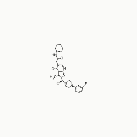 Cc1c(C(=O)N2CCN(c3cccc(F)c3)CC2)sc2ncn(CC(=O)NC3CCCCC3)c(=O)c12